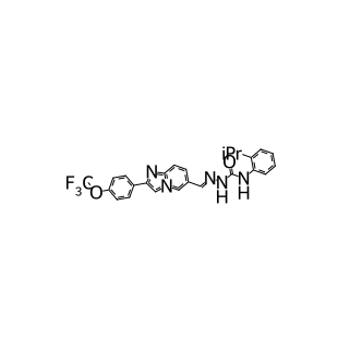 CC(C)c1ccccc1NC(=O)N/N=C/c1ccc2nc(-c3ccc(OC(F)(F)F)cc3)cn2c1